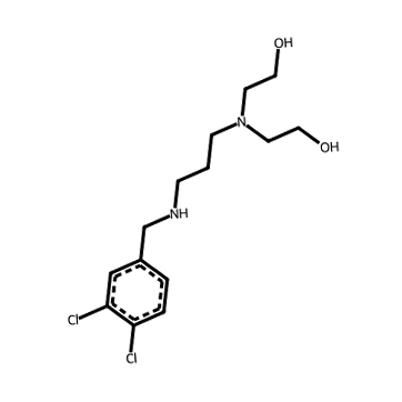 OCCN(CCO)CCCNCc1ccc(Cl)c(Cl)c1